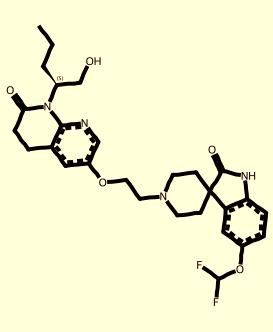 CCC[C@@H](CO)N1C(=O)CCc2cc(OCCN3CCC4(CC3)C(=O)Nc3ccc(OC(F)F)cc34)cnc21